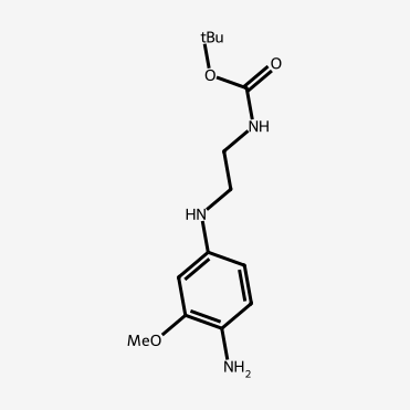 COc1cc(NCCNC(=O)OC(C)(C)C)ccc1N